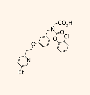 CCc1ccc(CCOc2cccc(CN(CC(=O)O)C(=O)Oc3ccccc3Cl)c2)nc1